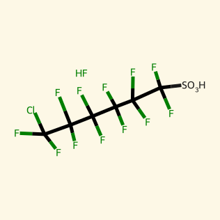 F.O=S(=O)(O)C(F)(F)C(F)(F)C(F)(F)C(F)(F)C(F)(F)C(F)(F)Cl